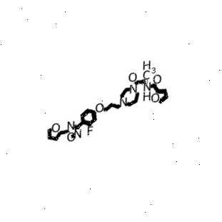 C[C@H](NC(=O)c1ccco1)C(=O)N1CCCN(CCCOc2ccc(-c3noc(C4CCCO4)n3)c(F)c2)CC1